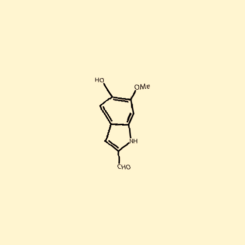 COc1cc2[nH]c(C=O)cc2cc1O